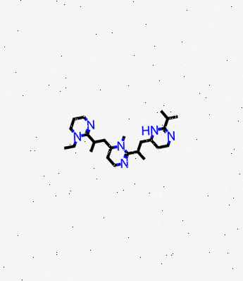 CCN1CCCN=C1C(C)CC1CCN=C(C(C)CC2CCN=C(C(C)C)N2)N1C